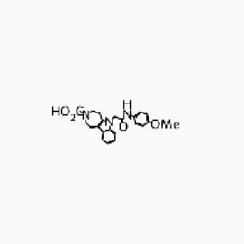 COc1ccc(NC(=O)Cn2c3c(c4ccccc42)CCN(C(=O)O)CC3)cc1